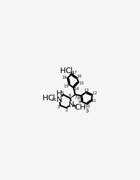 CN1CCNC[C@H]1C(c1ccccc1)c1ccccc1.Cl.Cl